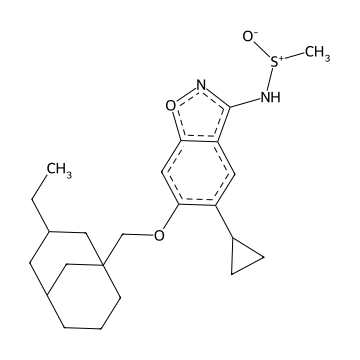 CCC1CC2CCCC(COc3cc4onc(N[S+](C)[O-])c4cc3C3CC3)(C1)C2